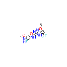 CCC(=O)NC1CCC(NC(=O)c2c(C)[nH]c3c(-c4cc(C(F)F)ccc4OCC4CC4)ncnc23)CC1F